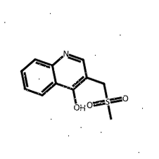 CS(=O)(=O)Cc1cnc2ccccc2c1O